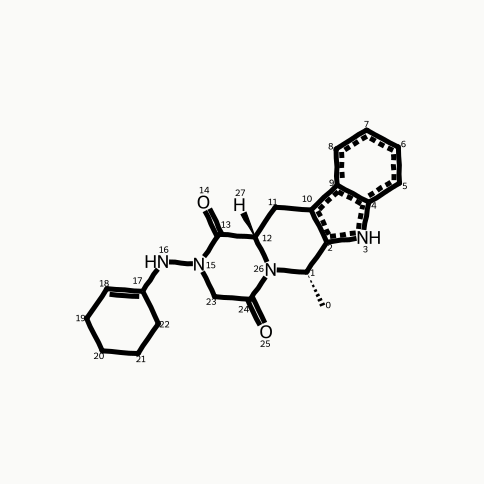 C[C@H]1c2[nH]c3ccccc3c2C[C@H]2C(=O)N(NC3=CCCCC3)CC(=O)N21